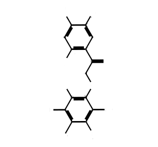 CCc1cc(C(=O)COc2c(F)c(F)c(C)c(F)c2F)c(O)cc1O